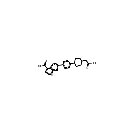 O=C(O)CC1CCC(c2ccc(-c3ccc4c(C(=O)O)ccnc4c3)cc2)CC1